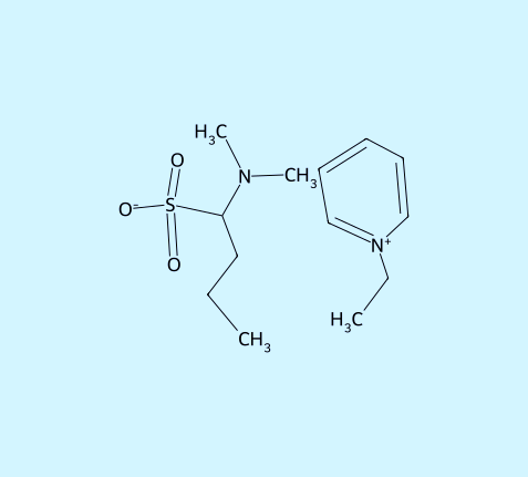 CCCC(N(C)C)S(=O)(=O)[O-].CC[n+]1ccccc1